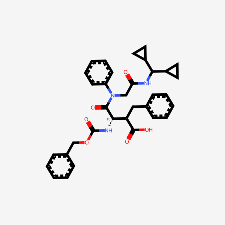 O=C(CN(C(=O)[C@@H](NC(=O)OCc1ccccc1)C(Cc1ccccc1)C(=O)O)c1ccccc1)NC(C1CC1)C1CC1